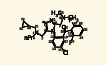 CCCN(Cc1nnc(CN(C)C)n1-c1ccc(Cl)cc1C(=O)c1c(F)cccc1F)CC1CC1